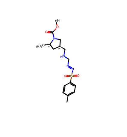 Cc1ccc(S(=O)(=O)N=NCNC[C@H]2C[C@@H](C(=O)O)N(C(=O)OC(C)(C)C)C2)cc1